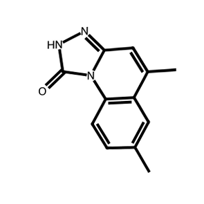 Cc1ccc2c(c1)c(C)cc1n[nH]c(=O)n12